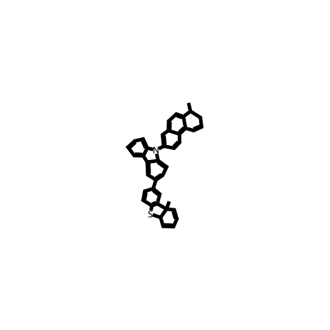 CC1CC=Cc2c1ccc1cc(-n3c4ccccc4c4cc(-c5ccc6c(c5)C5(C)C=CC=CC5S6)ccc43)ccc21